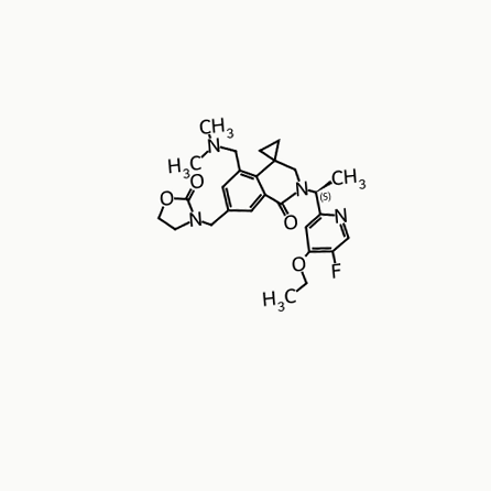 CCOc1cc([C@H](C)N2CC3(CC3)c3c(CN(C)C)cc(CN4CCOC4=O)cc3C2=O)ncc1F